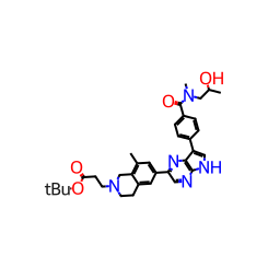 Cc1cc(-c2cnc3[nH]cc(-c4ccc(C(=O)N(C)CC(C)O)cc4)c3n2)cc2c1CN(CCC(=O)OC(C)(C)C)CC2